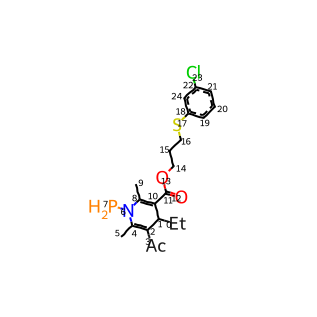 CCC1C(C(C)=O)=C(C)N(P)C(C)=C1C(=O)OCCCSc1cccc(Cl)c1